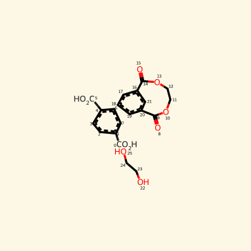 O=C(O)c1ccc(C(=O)O)cc1.O=C1OCCOC(=O)c2cccc1c2.OCCO